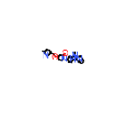 Cc1ccc(COc2ccn(-c3ccc4c5c(n(C)c4c3)CC3CCC5N3)c(=O)c2)cn1